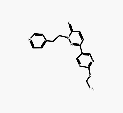 O=c1ccc(-c2cnc(OCC(F)(F)F)nc2)nn1CCc1ccncc1